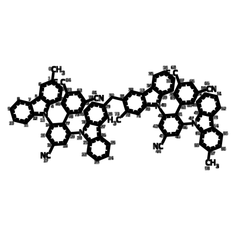 Cc1ccc2c(c1)c1ccccc1n2-c1cc(C#N)cc(-n2c3ccccc3c3cc(Cc4cc5c6ccccc6n(-c6cc(C#N)cc(-n7c8ccccc8c8ccc(C)cc87)c6-c6cc(C#N)cc(C(F)(F)F)c6)c5cc4C)ccc32)c1-c1cc(C#N)cc(C(F)(F)F)c1